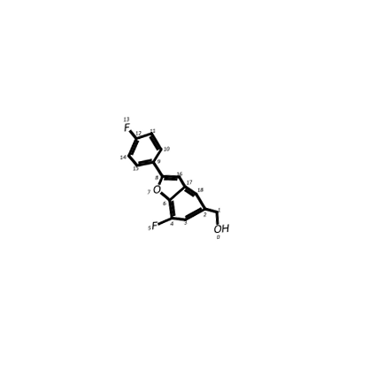 OCc1cc(F)c2oc(-c3ccc(F)cc3)cc2c1